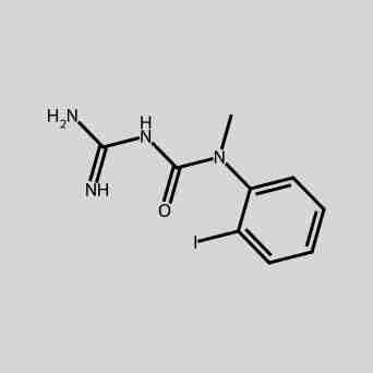 CN(C(=O)NC(=N)N)c1ccccc1I